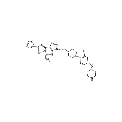 Nc1nc2c(cnn2CCN2CCN(c3ccc(OC4CCNCC4)cc3F)CC2)c2cc(-c3ccco3)nn12